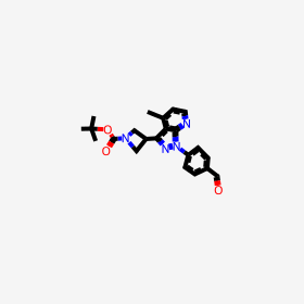 Cc1ccnc2c1c(C1CN(C(=O)OC(C)(C)C)C1)nn2-c1ccc(C=O)cc1